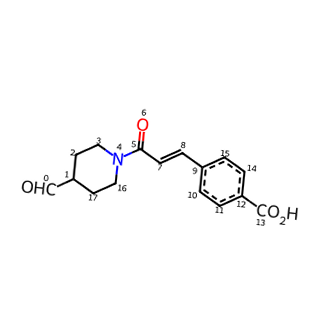 O=CC1CCN(C(=O)C=Cc2ccc(C(=O)O)cc2)CC1